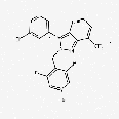 Fc1cc(F)c(Cn2nc3c(C(F)(F)F)cccc3c2-c2cccc(Cl)c2)c(F)c1